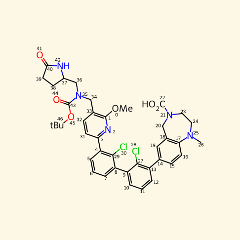 COc1nc(-c2cccc(-c3cccc(-c4ccc5c(c4)CN(C(=O)O)CCN5C)c3Cl)c2Cl)ccc1CN(CC1CCC(=O)N1)C(=O)OC(C)(C)C